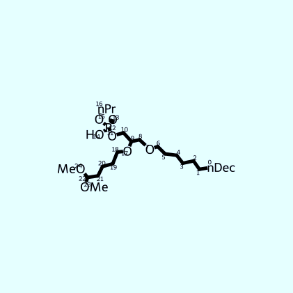 CCCCCCCCCCCCCCCCOCC(COP(=O)(O)OCCC)OCCCCC(OC)OC